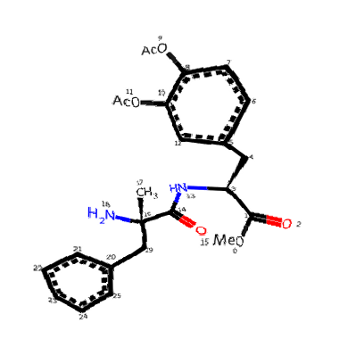 COC(=O)[C@H](Cc1ccc(OC(C)=O)c(OC(C)=O)c1)NC(=O)[C@@](C)(N)Cc1ccccc1